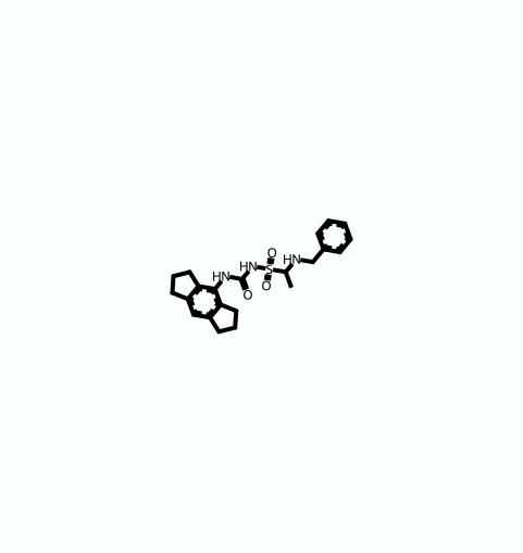 CC(NCc1ccccc1)S(=O)(=O)NC(=O)Nc1c2c(cc3c1CCC3)CCC2